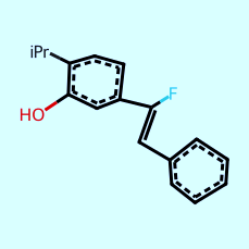 CC(C)c1ccc(C(F)=Cc2ccccc2)cc1O